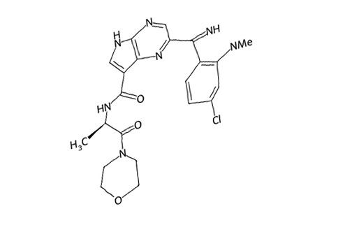 CNc1cc(Cl)ccc1C(=N)c1cnc2[nH]cc(C(=O)N[C@H](C)C(=O)N3CCOCC3)c2n1